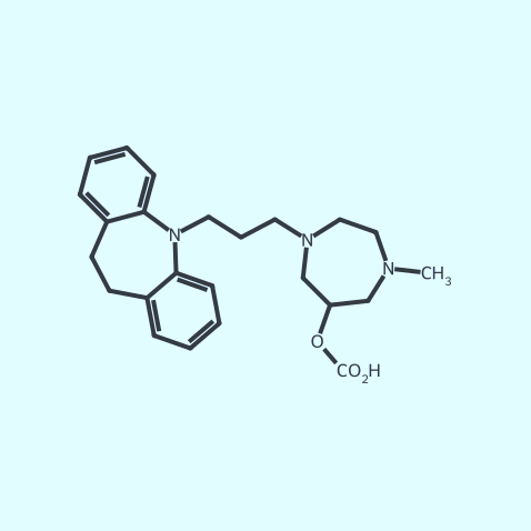 CN1CCN(CCCN2c3ccccc3CCc3ccccc32)CC(OC(=O)O)C1